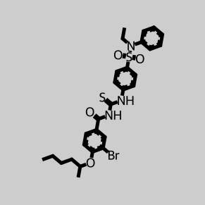 CCCCC(C)Oc1ccc(C(=O)NC(=S)Nc2ccc(S(=O)(=O)N(CC)c3ccccc3)cc2)cc1Br